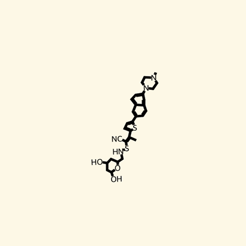 C/C(=C(/C#N)SNCC1CC(O)CC(O)O1)c1ccc(-c2ccc3cc(N4CCN(C)CC4)ccc3c2)s1